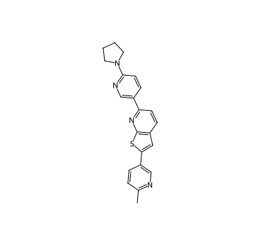 Cc1ccc(-c2cc3ccc(-c4ccc(N5CCCC5)nc4)nc3s2)cn1